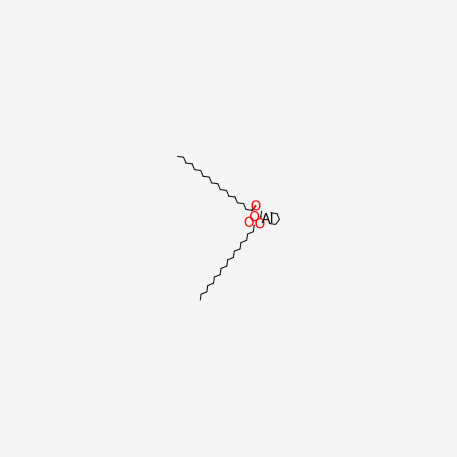 CCCCCCCCCCCCCCCCCC(=O)O[C](C)(OC(=O)CCCCCCCCCCCCCCCCC)[Al]1[CH2]CCC[CH2]1